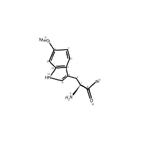 COc1ccc2c(C[C@H](N)C(=O)Br)c[nH]c2c1